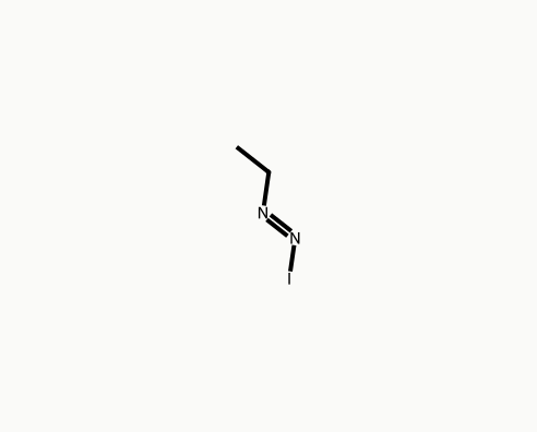 CCN=NI